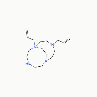 C=CCN1CCN2CCNCC[N+](CC=C)(CC1)CC2